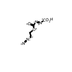 [N-]=[N+]=CCOC(=O)N=NC(=O)O